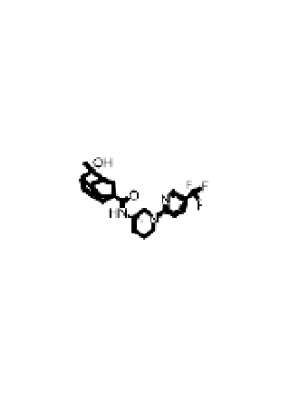 CC1(O)C2CC3CC1CC(C(=O)N[C@H]1CCCN(c4ccc(C(F)(F)F)cn4)C1)(C3)C2